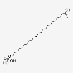 O=P(O)(O)OCCCCCCCCCCCCCCCCCCCCCCC(=S)S